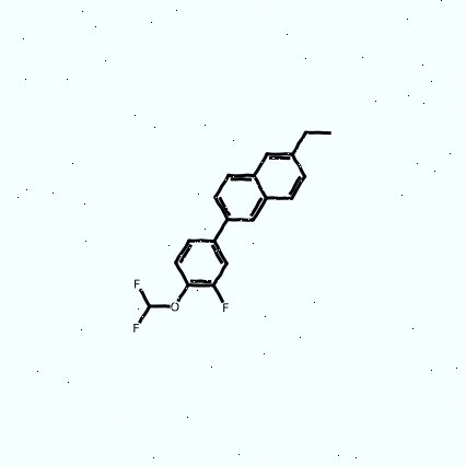 CCc1ccc2cc(-c3ccc(OC(F)F)c(F)c3)ccc2c1